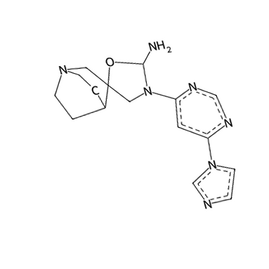 NC1OC2(CN3CCC2CC3)CN1c1cc(-n2ccnc2)ncn1